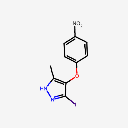 Cc1[nH]nc(I)c1Oc1ccc([N+](=O)[O-])cc1